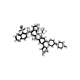 CN1CCN(C2CCN(c3cc(OCC(F)(F)F)c(Nc4nc(Nc5ccc6nccnc6c5P(C)(C)=O)c5cc[nH]c5n4)cc3-c3cnn(C)c3)CC2)CC1